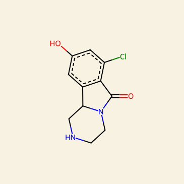 O=C1c2c(Cl)cc(O)cc2C2CNCCN12